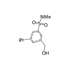 CNS(=O)(=O)c1cc(CO)cc(C(C)C)c1